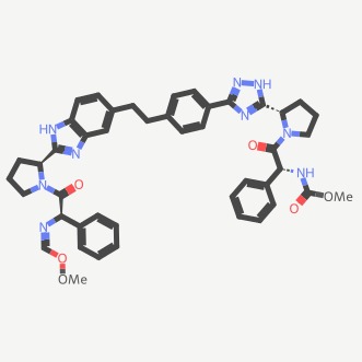 COO/C=N\[C@@H](C(=O)N1CCC[C@H]1c1nc2cc(CCc3ccc(-c4n[nH]c([C@@H]5CCCN5C(=O)[C@H](NC(=O)OC)c5ccccc5)n4)cc3)ccc2[nH]1)c1ccccc1